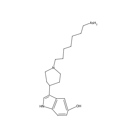 Oc1ccc2[nH]cc(C3CCN(CCCCCCC[AsH2])CC3)c2c1